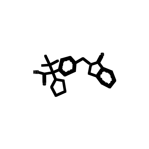 CC(C)(C)C(C(=O)O)(c1ccc(CN2Cc3ccccc3C2=O)cc1)C1CCCC1